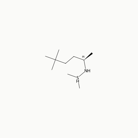 C[C@H](CCC(C)(C)C)N[SH](C)C